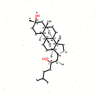 CC(C)CC[C@@H](O)[C@@H](C)[C@H]1CC[C@H]2[C@@H]3CC[C@H]4C[C@@](C)(O)CC[C@]4(C)[C@H]3CC[C@]12C